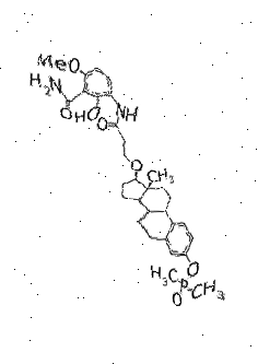 COc1ccc(NC(=O)CCO[C@@H]2CCC3C4CCc5cc(OP(C)(C)=O)ccc5C4CC[C@]32C)c(O)c1C(N)=O